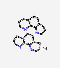 [Pd].c1cnc2c(c1)ccc1cccnc12.c1cnc2c(c1)ccc1cccnc12